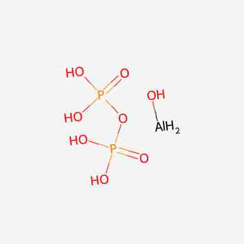 O=P(O)(O)OP(=O)(O)O.[OH][AlH2]